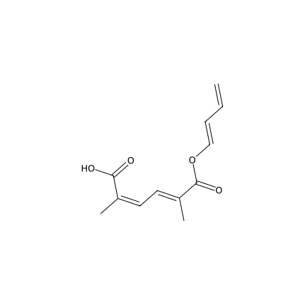 C=CC=COC(=O)C(C)=CC=C(C)C(=O)O